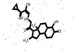 CCCC1C(CC)CCC2C1CCC1(C)C2CC(C)C1C(=O)CN/C=C(/C#N)C(=N)C1CC1